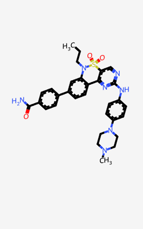 CCCN1c2cc(-c3ccc(C(N)=O)cc3)ccc2-c2nc(Nc3ccc(N4CCN(C)CC4)cc3)ncc2S1(=O)=O